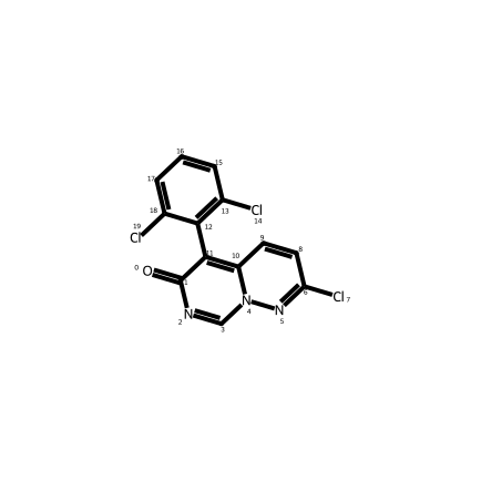 O=c1ncn2nc(Cl)ccc2c1-c1c(Cl)cccc1Cl